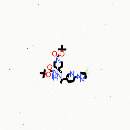 CC(NCC1(NC(=O)OC(C)(C)C)CCN(C(=O)OC(C)(C)C)CC1)c1ccc(-n2cc(F)cn2)nc1